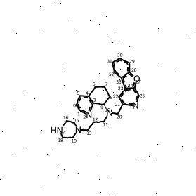 c1cnc2c(c1)CCC[C@@H]2N(CCCN1CCNCC1)Cc1cc2c(cn1)oc1ccccc12